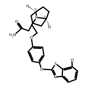 NC(=O)CC1C[C@H]2CC[C@@H](C1)N2CCOc1ccc(Oc2nc3cccc(Cl)c3s2)cc1